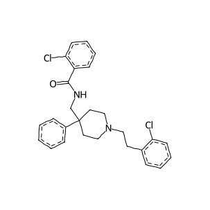 O=C(NCC1(c2ccccc2)CCN(CCc2ccccc2Cl)CC1)c1ccccc1Cl